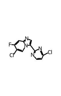 Fc1cc2ncc(-c3nccc(Cl)n3)n2cc1Cl